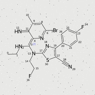 CCN/C(=C1/N=C(Br)C=C(C)C1=N)N(CCF)c1nc(-c2ccc(F)cc2)c(C#N)s1